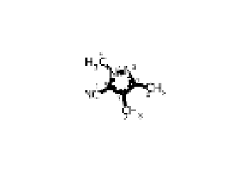 Cc1nn(C)c(C#N)c1C